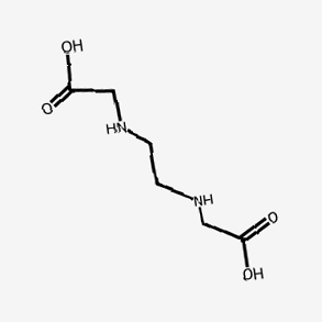 O=C(O)CNCCNCC(=O)O